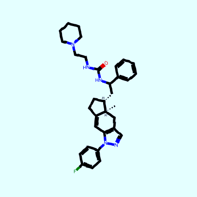 C[C@]12Cc3cnn(-c4ccc(F)cc4)c3C=C1CC[C@@H]2CC(NC(=O)NCCN1CCCCC1)c1ccccc1